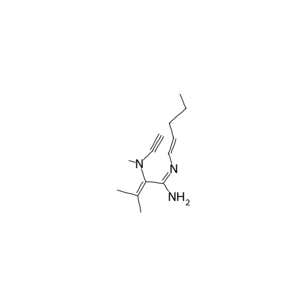 C#CN(C)C(=C(C)C)/C(N)=N\C=C\CCC